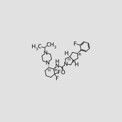 CC(C)N1CCN([C@H]2CCCC(F)(F)[C@@H]2NC(=O)N2C[C@H]3C[C@@H](c4ccccc4F)C[C@H]3C2)CC1